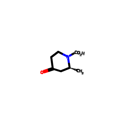 C[C@@H]1CC(=O)CCN1C(=O)O